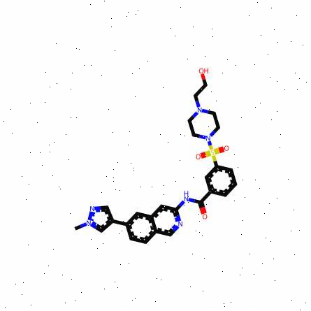 Cn1cc(-c2ccc3cnc(NC(=O)c4cccc(S(=O)(=O)N5CCN(CCO)CC5)c4)cc3c2)cn1